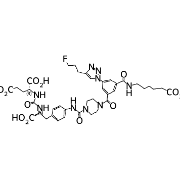 O=C(O)CCCCCNC(=O)c1cc(C(=O)N2CCN(C(=O)Nc3ccc(C[C@H](NC(=O)N[C@H](CCC(=O)O)C(=O)O)C(=O)O)cc3)CC2)cc(-n2cc(CCCF)nn2)c1